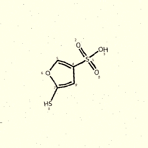 O=S(=O)(O)c1coc(S)c1